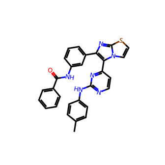 Cc1ccc(Nc2nccc(-c3c(-c4cccc(NC(=O)c5ccccc5)c4)nc4sccn34)n2)cc1